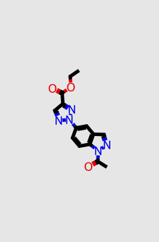 CCOC(=O)c1cnn(-c2ccc3c(cnn3C(C)=O)c2)n1